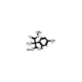 COC(=O)C(N)(C(=O)OC(C)(C)C)c1ccc(O)cc1C